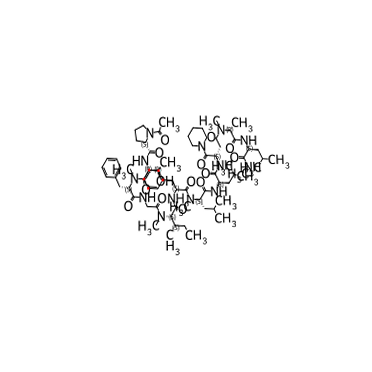 CC[C@H](C)[C@@H](C(=O)N[C@@H](Cc1ccccc1)C(=O)N(C)[C@@H](CC(C)C)C(=O)N[C@H](CC(C)C)C(=O)N[C@@H](CC(=O)N(C)[C@H](C)C(=O)N[C@@H](CC(C)C)C(=O)NC)C(=O)N1CCCCC1)N(C)C(=O)CNC(=O)[C@H](Cc1ccccc1)N(C)C(=O)[C@H](NC(=O)[C@@H]1CCCN1C(C)=O)[C@@H](C)O